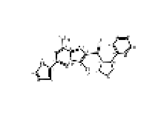 O=C(c1nc2c(C(F)(F)F)cc(-c3ccco3)cn2c1Cl)N1CCCC1c1ccccc1